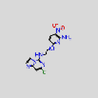 Nc1nc(NCCNc2nc(Cl)cc3nccn23)ccc1[N+](=O)[O-]